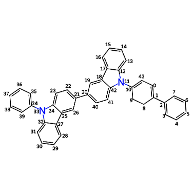 C1=C(c2ccccc2)CCC(n2c3ccccc3c3cc(-c4ccc5c(c4)c4ccccc4n5-c4ccccc4)ccc32)=C1